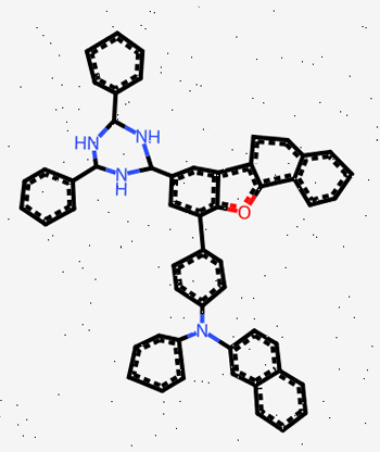 c1ccc(C2NC(c3ccccc3)NC(c3cc(-c4ccc(N(c5ccccc5)c5ccc6ccccc6c5)cc4)c4oc5c6ccccc6ccc5c4c3)N2)cc1